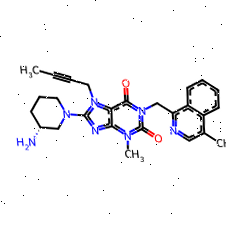 CC#CCn1c(N2CCC[C@@H](N)C2)nc2c1c(=O)n(Cc1ncc(C)c3ccccc13)c(=O)n2C